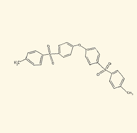 Cc1ccc(S(=O)(=O)c2ccc(Oc3ccc(S(=O)(=O)c4ccc(C)cc4)cc3)cc2)cc1